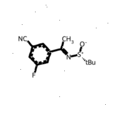 C/C(=N\[S@+]([O-])C(C)(C)C)c1cc(F)cc(C#N)c1